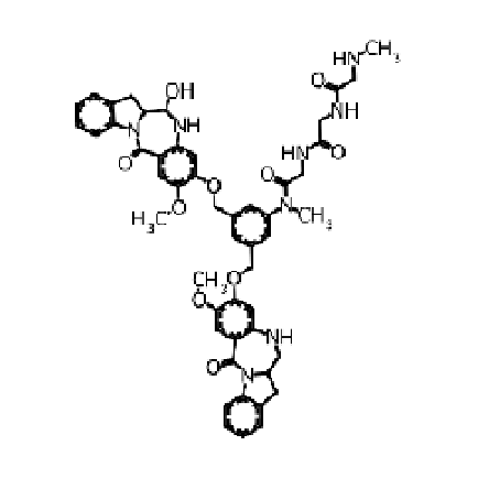 CNCC(=O)NCC(=O)NCC(=O)N(C)c1cc(COc2cc3c(cc2OC)C(=O)N2c4ccccc4CC2CN3)cc(COc2cc3c(cc2OC)C(=O)N2c4ccccc4CC2[C@@H](O)N3)c1